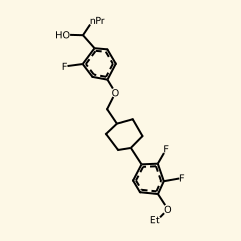 CCCC(O)c1ccc(OCC2CCC(c3ccc(OCC)c(F)c3F)CC2)cc1F